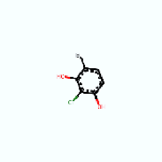 [CH2]Cc1ccc(O)c(Cl)c1O